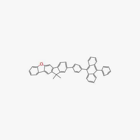 CC1(C)c2cc(-c3ccc(-c4c5ccccc5c(-c5ccccc5)c5ccccc45)cc3)ccc2-c2cc3oc4ccccc4c3cc21